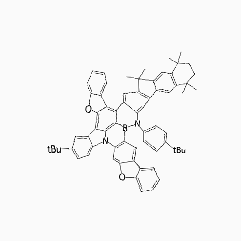 CC(C)(C)c1ccc(N2B3c4cc5c(cc4-n4c6ccc(C(C)(C)C)cc6c6c7oc8ccccc8c7c(c3c64)-c3cc4c(cc32)-c2cc3c(cc2C4(C)C)C(C)(C)CCC3(C)C)oc2ccccc25)cc1